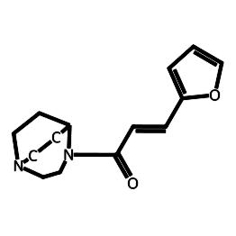 O=C(/C=C/c1ccco1)N1CCN2CCC1CC2